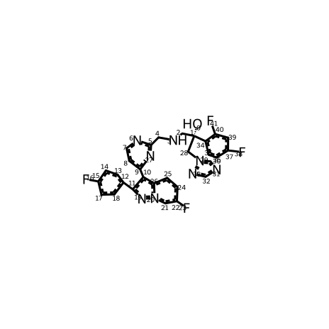 O[C@@](CNCc1nccc(-c2c(-c3ccc(F)cc3)nn3cc(F)ccc23)n1)(Cn1cncn1)c1ccc(F)cc1F